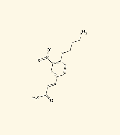 CCCCSc1ccc(C=CC(C)=O)cc1[N+](=O)[O-]